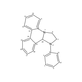 c1ccc(N2CCN3c4ccccc4-c4ccccc4C23)cc1